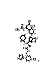 Cc1ccc(-n2cnnn2)c(CCC(=O)N[C@@H](Cc2ccccc2)c2nc(-c3ccc4[nH]c(=O)cc(OC(=O)C(C)(C)C)c4c3)c(Cl)[nH]2)c1